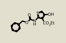 CCOC(=O)c1c(O)csc1NC(=O)OCc1ccccc1